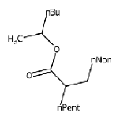 CCCCCCCCCCC(CCCCC)C(=O)OC(C)CCCC